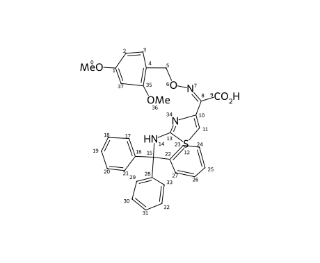 COc1ccc(CON=C(C(=O)O)c2csc(NC(c3ccccc3)(c3ccccc3)c3ccccc3)n2)c(OC)c1